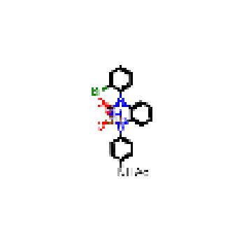 CC(=O)Nc1ccc(N(c2ccccc2N(C(N)=O)c2ccccc2Br)[SH](=O)=O)cc1